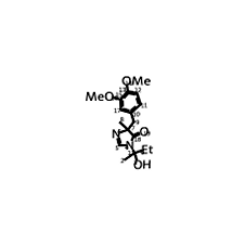 CCC(C)(O)N1C=NC(C)(Cc2ccc(OC)c(OC)c2)C1=O